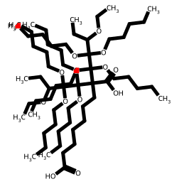 CCCCCOC(OCCCCC)(C(CC)OCC)C(OCCCCC)(OCCCCC)C(CCCCCCC(=O)O)(C(=O)O)C(OCCCCC)(OCCCCC)C(OCCCCC)(OCCCCC)C(CC)OCC